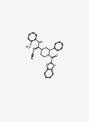 Cc1ccccc1N/C(=N/C#N)N1CCN(C(=O)c2nc3ccccc3s2)C(c2ccccc2)C1